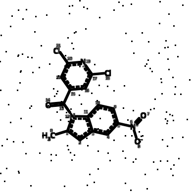 Cc1cc2cc([N+](=O)[O-])ccc2n1C(=O)c1cc(Cl)nc(Cl)c1